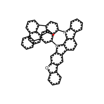 c1ccc(-c2cccc(-n3c4cc5oc6ccccc6c5cc4c4ccc5c6ccccc6n(-c6ccc7c(c6)-c6cccc8cccc-7c68)c5c43)c2)cc1